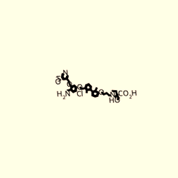 Cc1c(COc2cc(OCc3cncc([S+](C)[O-])c3)c(CN)cc2Cl)cccc1-c1cccc(OCCCN2CCC(CO)(C(=O)O)C2)c1C